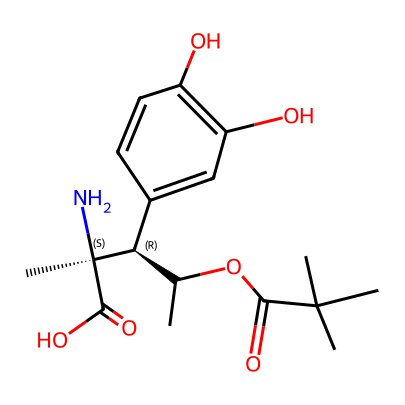 CC(OC(=O)C(C)(C)C)[C@H](c1ccc(O)c(O)c1)[C@](C)(N)C(=O)O